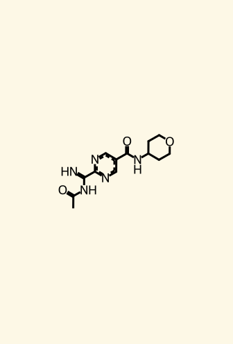 CC(=O)NC(=N)c1ncc(C(=O)NC2CCOCC2)cn1